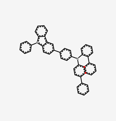 c1ccc(-c2ccc(N(c3ccc(-c4ccc5c(c4)c4ccccc4n5-c4ccccc4)cc3)c3ccccc3-c3ccccc3)cc2)cc1